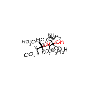 O=C(O)CC(O)(CC(=O)O)C(=O)O.O=C(O)CC(O)(CC(=O)O)C(=O)O.[KH].[MgH2]